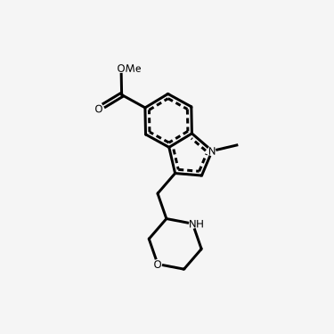 COC(=O)c1ccc2c(c1)c(CC1COCCN1)cn2C